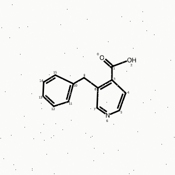 O=C(O)c1ccncc1Cc1ccccc1